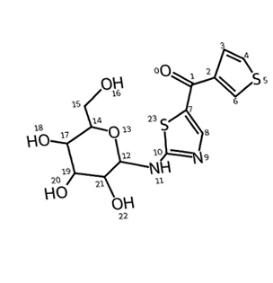 O=C(c1ccsc1)c1cnc(NC2OC(CO)C(O)C(O)C2O)s1